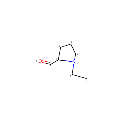 CCN1CCCC1C=O